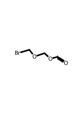 O=[C]OCOCBr